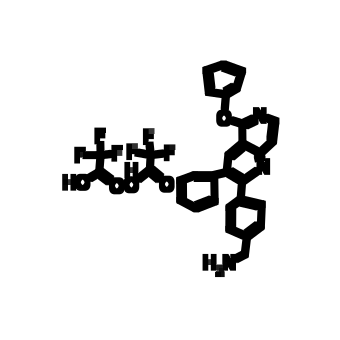 NCc1ccc(-c2nc3ccnc(Oc4ccccc4)c3cc2-c2ccccc2)cc1.O=C(O)C(F)(F)F.O=C(O)C(F)(F)F